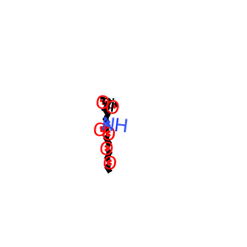 CCOCCOCCOC(=O)NCCC[Si](C)(OC)OC